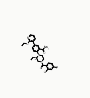 CCOc1ncccc1-c1ccc(N2CCN(C(=O)c3ccc(F)cc3Cl)C[C@H]2CC)c(C(N)=O)c1